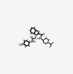 CC(C)N1CCC(NC(=O)c2nc3ccccc3n2CC(=O)Nc2ccc(Cl)cc2)CC1